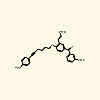 COc1ccc(C#CCCCCOc2ccc(C(=O)c3cccc(C(=O)O)c3)cc2CCC(=O)O)cc1